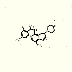 Cc1ccc([C@@H](C)Nc2nnc(C)c3ccc(N4CCNCC4)cc23)c(Cl)c1